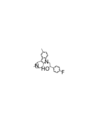 Cc1ccc2c(c1)c1c(n2CC(O)c2ccc(F)cc2)CC2CCC1N2C